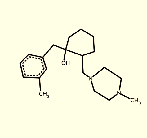 Cc1cccc(CC2(O)CCCCC2CN2CCN(C)CC2)c1